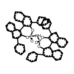 O=P1(NP2(=O)Oc3c(-c4ccccc4)cc4ccccc4c3-c3c(c(-c4ccccc4)cc4ccccc34)O2)Oc2c(-c3ccccc3)cc3ccccc3c2-c2c(c(-c3ccccc3)cc3ccccc23)O1